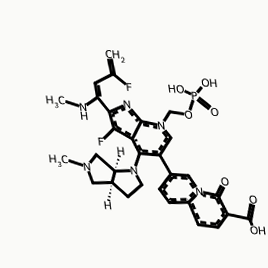 C=C(F)/C=C(/NC)c1nc2n(COP(=O)(O)O)cc(-c3ccc4ccc(C(=O)O)c(=O)n4c3)c(N3CC[C@H]4CN(C)C[C@H]43)c-2c1F